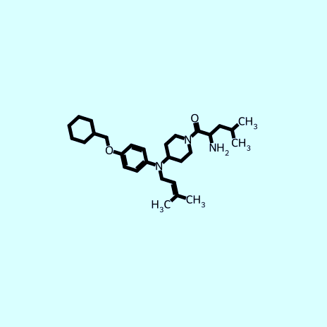 CC(C)=CCN(c1ccc(OCC2CCCCC2)cc1)C1CCN(C(=O)C(N)CC(C)C)CC1